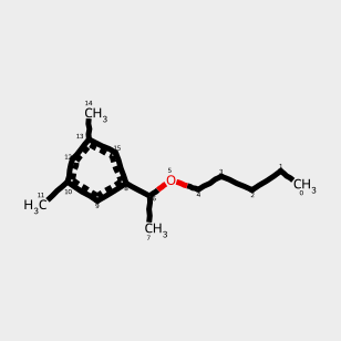 CCCCCOC(C)c1cc(C)cc(C)c1